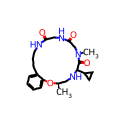 C[C@@H]1CNC(C2CC2)C(=O)N(C)CC(=O)NCC(=O)NCCCc2ccccc2O1